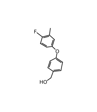 Cc1cc(Oc2ccc(CO)cc2)ccc1F